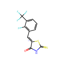 O=C1NC(=S)S/C1=C\c1cccc(C(F)(F)F)c1F